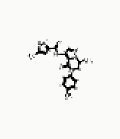 Cc1cc(C(=O)Nc2cnn3c2C(=O)N(c2ccc(C(F)(F)F)cc2)C[C@@H]3C)no1